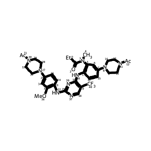 CCC(=O)N(C)c1cc(N2CCN(C(C)=O)CC2)ccc1Nc1nc(Nc2ccc(N3CCN(C(C)=O)CC3)cc2OC)ncc1C(F)(F)F